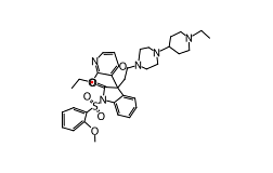 CCOc1ncccc1C1(CC(=O)N2CCN(C3CCN(CC)CC3)CC2)C(=O)N(S(=O)(=O)c2ccccc2OC)c2ccccc21